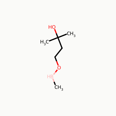 CBOCCC(C)(C)O